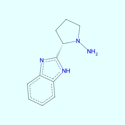 NN1CCC[C@H]1c1nc2ccccc2[nH]1